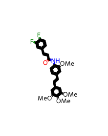 COc1cc(/C=C/c2cc(OC)c(OC)c(OC)c2)ccc1NC(=O)/C=C/c1ccc(F)c(F)c1